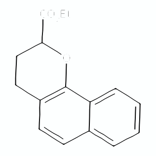 CCOC(=O)C1CCc2ccc3ccccc3c2O1